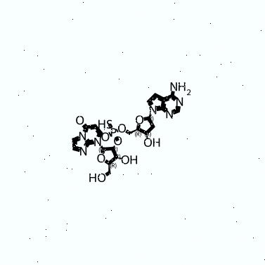 Nc1ncnc2c1ccn2[C@H]1C[C@H](O)[C@@H](COP(=O)(S)O[C@@H]2[C@H](O)[C@@H](CO)O[C@H]2n2ccc(=O)n3ccnc23)O1